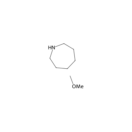 C1CCCNCC1.COC